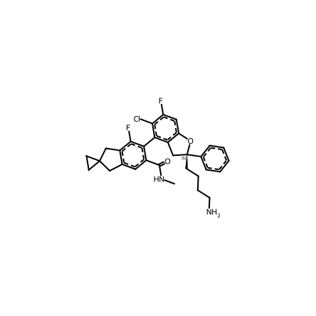 CNC(=O)c1cc2c(c(F)c1-c1c(Cl)c(F)cc3c1C[C@@](CCCCN)(c1ccccc1)O3)CC1(CC1)C2